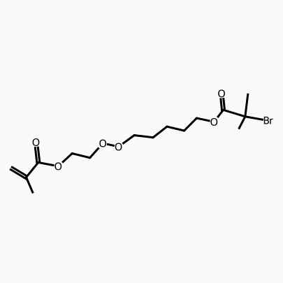 C=C(C)C(=O)OCCOOCCCCCOC(=O)C(C)(C)Br